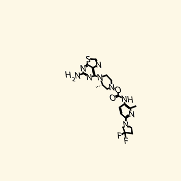 Cc1nc(N2CCC(F)(F)C2)ccc1NC(=O)ON1CCN(c2nc(N)nc3scnc23)[C@@H](C)C1